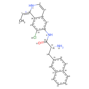 C/C=C1/NC=Cc2cc(NC(=O)[C@H](N)Cc3ccc4ccccc4c3)c(Cl)cc21